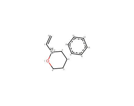 C=C[SiH]1CCCCO1.c1ccccc1